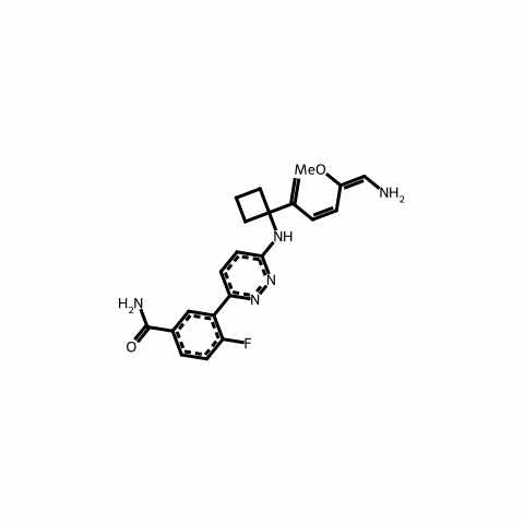 C=C(/C=C\C(=C/N)OC)C1(Nc2ccc(-c3cc(C(N)=O)ccc3F)nn2)CCC1